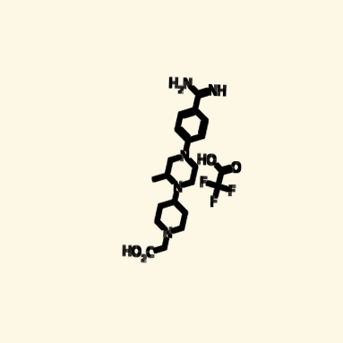 CC1CN(c2ccc(C(=N)N)cc2)CCN1C1CCN(CC(=O)O)CC1.O=C(O)C(F)(F)F